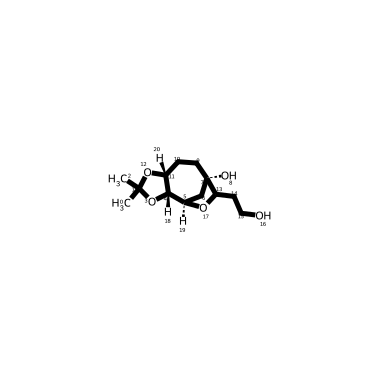 CC1(C)O[C@H]2[C@H]3C[C@@](O)(CC[C@H]2O1)C(CCO)O3